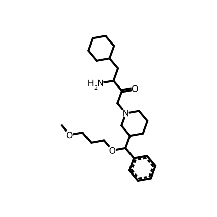 COCCCOC(c1ccccc1)C1CCCN(CC(=O)C(N)CC2CCCCC2)C1